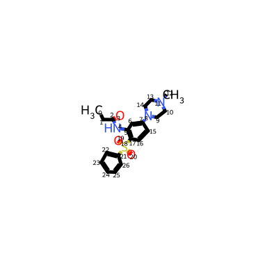 CCC(=O)Nc1cc(N2CCN(C)CC2)ccc1S(=O)(=O)c1ccccc1